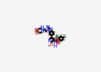 COc1ncc(-c2ccc3nc(N)n(CCN4CCS(=O)(=O)CC4)c3c2)cc1NS(=O)(=O)c1ccc(F)cc1F